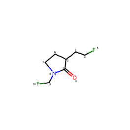 O=C1C(CCF)CCN1CF